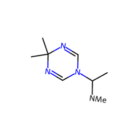 CNC(C)N1C=NC(C)(C)N=C1